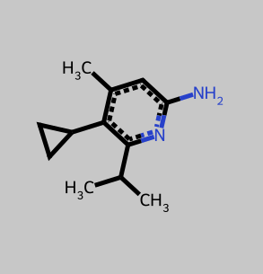 Cc1cc(N)nc(C(C)C)c1C1CC1